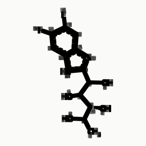 CC(O)[C@@H](O)C(O)C(O)c1nc2cc(F)c(F)cc2[nH]1